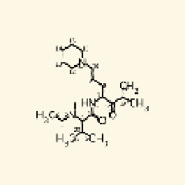 CCNC(C(=O)NC(CCCN1CCCCC1)C(=O)C(C)C)C(C)C